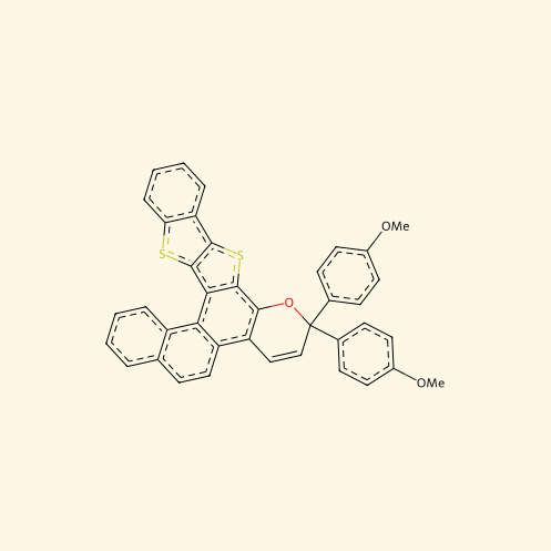 COc1ccc(C2(c3ccc(OC)cc3)C=Cc3c(c4sc5c6ccccc6sc5c4c4c3ccc3ccccc34)O2)cc1